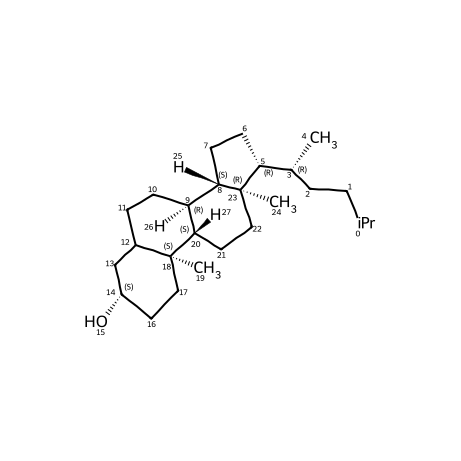 CC(C)CC[C@@H](C)[C@H]1CC[C@H]2[C@@H]3CCC4C[C@@H](O)CC[C@]4(C)[C@H]3CC[C@]12C